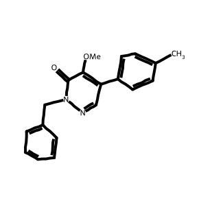 COc1c(-c2ccc(C)cc2)cnn(Cc2ccccc2)c1=O